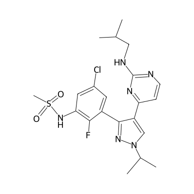 CC(C)CNc1nccc(-c2cn(C(C)C)nc2-c2cc(Cl)cc(NS(C)(=O)=O)c2F)n1